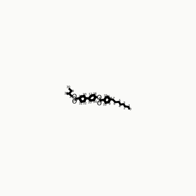 CCCCCCCCc1ccc(C(=O)Oc2ccc(-c3ccc(C(=O)OCC(C)CC)cc3)cc2)cc1